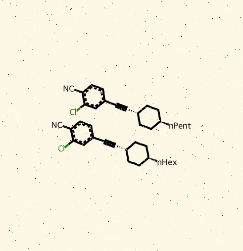 CCCCCC[C@H]1CC[C@H](C#Cc2ccc(C#N)c(Cl)c2)CC1.CCCCC[C@H]1CC[C@H](C#Cc2ccc(C#N)c(Cl)c2)CC1